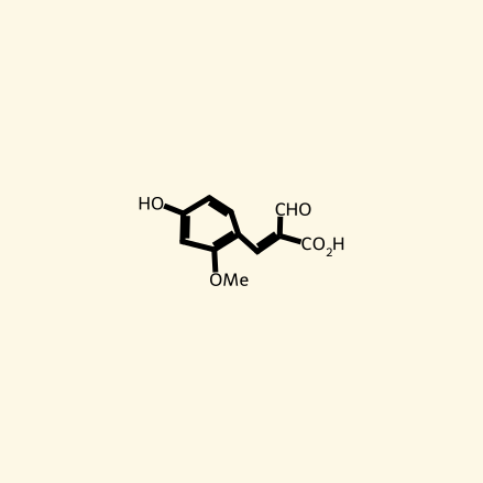 COc1cc(O)ccc1/C=C(\C=O)C(=O)O